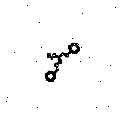 CC(COc1ccccn1)=NOCc1ccccc1